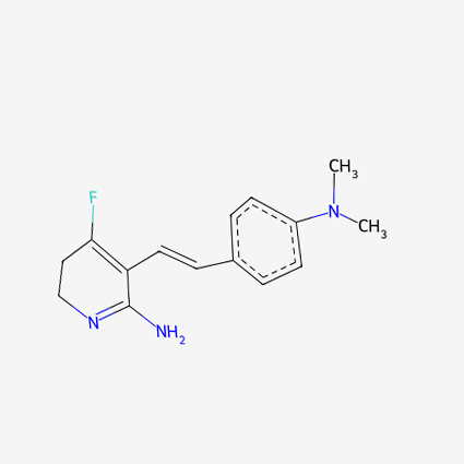 CN(C)c1ccc(/C=C/C2=C(F)CCN=C2N)cc1